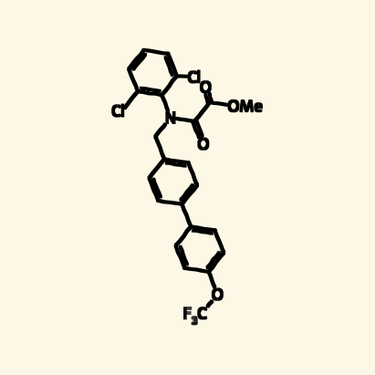 COC(=O)C(=O)N(Cc1ccc(-c2ccc(OC(F)(F)F)cc2)cc1)c1c(Cl)cccc1Cl